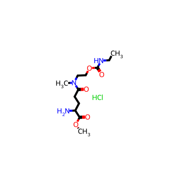 CCNC(=O)OCCN(C)C(=O)CCC(N)C(=O)OC.Cl